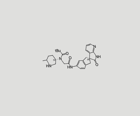 CC1CC[C@H](N(CC(=O)Nc2ccc3c(c2)C[C@@]2(C3)C(=O)Nc3ncccc32)C(=O)C(C)(C)C)CN1